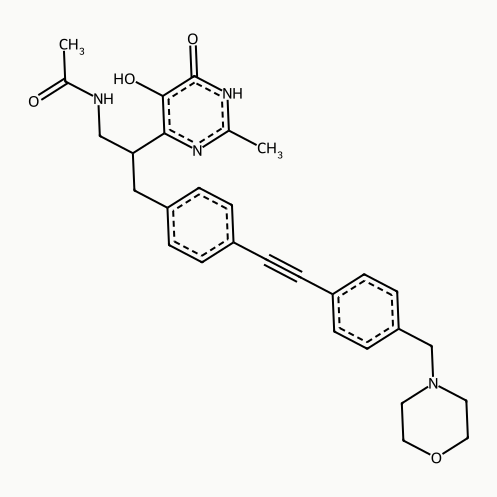 CC(=O)NCC(Cc1ccc(C#Cc2ccc(CN3CCOCC3)cc2)cc1)c1nc(C)[nH]c(=O)c1O